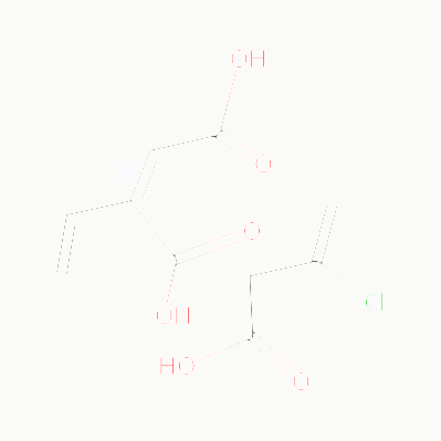 C=C(Cl)CC(=O)O.C=C/C(=C/C(=O)O)C(=O)O